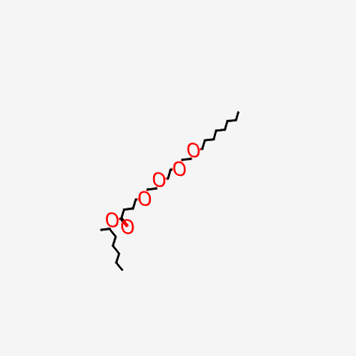 CCCCCCCCOCCOCCOCCOCCCC(=O)OC(C)CCCCC